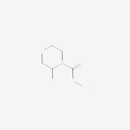 CC(=O)C1COCCN1C(=O)OC(C)(C)C